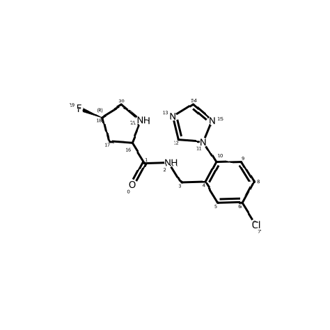 O=C(NCc1cc(Cl)ccc1-n1cncn1)C1C[C@@H](F)CN1